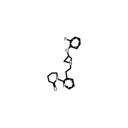 O=C1CCCCN1c1ncccc1CCN1CC(Oc2ccccc2F)C1